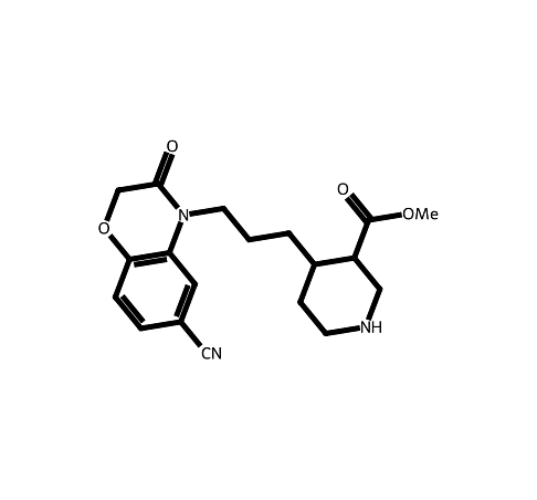 COC(=O)C1CNCCC1CCCN1C(=O)COc2ccc(C#N)cc21